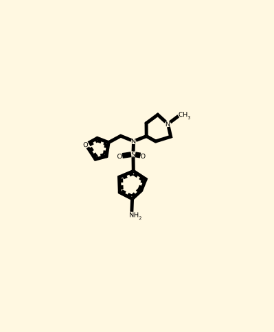 CN1CCC(N(Cc2ccoc2)S(=O)(=O)c2ccc(N)cc2)CC1